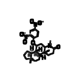 CN1C(=O)CC[C@@]2(C)C1CC(Oc1ccc([N+](=O)[O-])cc1[N+](=O)[O-])[C@@H]1[C@H]2CC[C@]2(C)CCC[C@@H]12